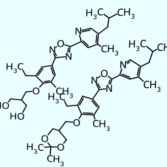 CCc1cc(-c2noc(-c3cc(C)c(CC(C)C)cn3)n2)cc(C)c1OCC(CO)CO.CCc1cc(-c2noc(-c3cc(C)c(CC(C)C)cn3)n2)cc(C)c1OCC1COC(C)(C)OC1